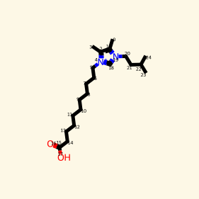 Cc1c(C)[n+](CCCCCCCCCCC(=O)O)cn1CCC(C)C